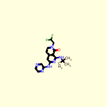 CC(C)(C)Nc1nc(Nc2cnccn2)cc2ccn(CC(F)F)c(=O)c12